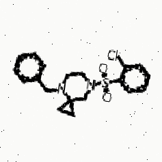 O=S(=O)(c1ccccc1Cl)N1CCN(Cc2ccccc2)C2(CC2)C1